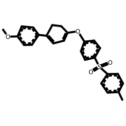 COc1ccc(C2=CC=C(Oc3ccc(S(=O)(=O)c4ccc(C)cc4)cc3)CC2)cc1